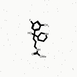 COC(=O)NCCCC(O)(c1cc(C)cc(F)c1)C1CCCNC1